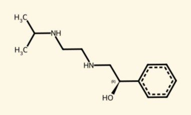 CC(C)NCCNC[C@H](O)c1ccccc1